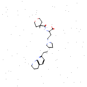 CC1(C(=O)NC(CCN2CC[C@@H](CCc3ccc4c(n3)NCCC4)C2)C(=O)O)CCOCC1